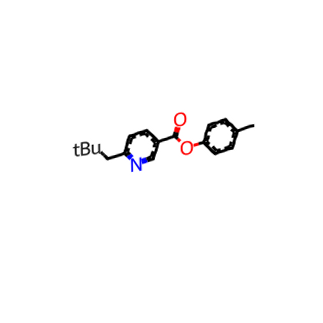 Cc1ccc(OC(=O)c2ccc(CC(C)(C)C)nc2)cc1